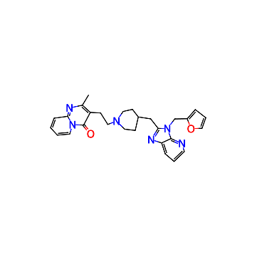 Cc1nc2ccccn2c(=O)c1CCN1CCC(Cc2nc3cccnc3n2Cc2ccco2)CC1